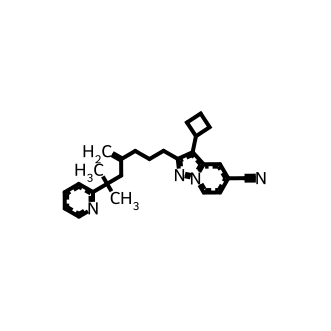 C=C(CCCc1nn2ccc(C#N)cc2c1C1CCC1)CC(C)(C)c1ccccn1